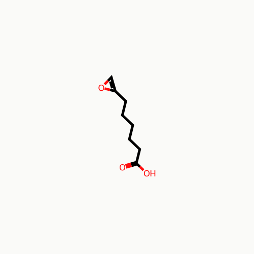 O=C(O)CCCCCC1=CO1